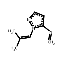 C=Nc1ccnn1C=C(C)C